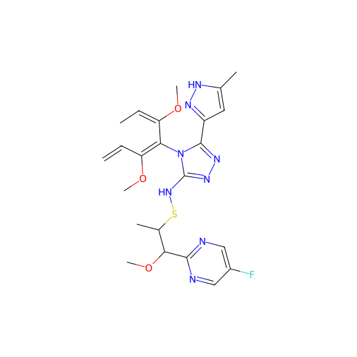 C=C/C(OC)=C(\C(=C/C)OC)n1c(NSC(C)C(OC)c2ncc(F)cn2)nnc1-c1cc(C)[nH]n1